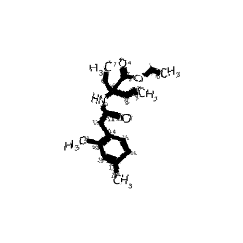 CCOC(=O)C(CC)(CC)NC(=O)Cc1ccc(C)cc1C